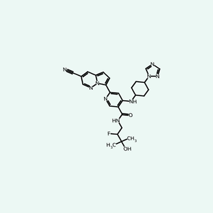 CC(C)(O)C(F)CNC(=O)c1cnc(-c2ccc3cc(C#N)cnn23)cc1NC1CCC(n2cncn2)CC1